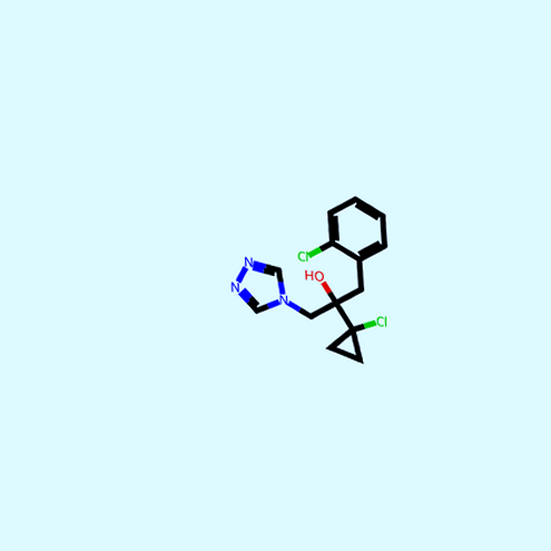 OC(Cc1ccccc1Cl)(Cn1cnnc1)C1(Cl)CC1